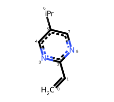 C=Cc1ncc(C(C)C)cn1